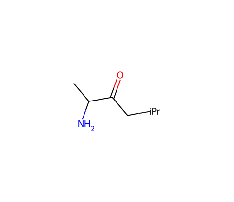 CC(C)CC(=O)C(C)N